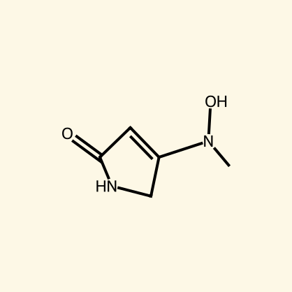 CN(O)C1=CC(=O)NC1